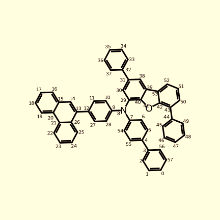 c1ccc(-c2ccc(N(c3ccc(-c4cc5ccccc5c5ccccc45)cc3)c3cc(-c4ccccc4)cc4c3oc3c(-c5ccccc5)cccc34)cc2)cc1